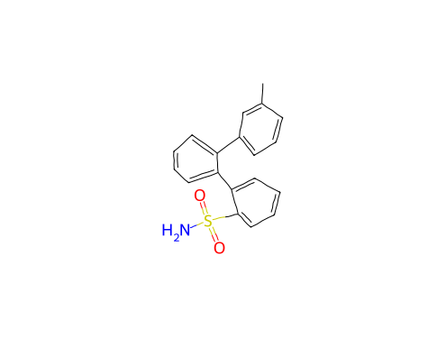 Cc1cccc(-c2ccccc2-c2ccccc2S(N)(=O)=O)c1